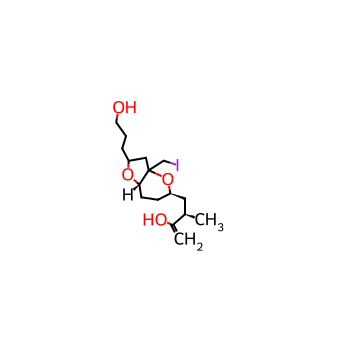 C=C(O)[C@H](C)C[C@H]1CC[C@@H]2OC(CCCO)CC2(CI)O1